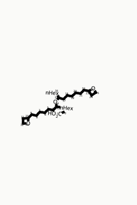 CC(=O)O.CCCCCCC(CCCCCCC1CCO1)OC(CCCCCC)CCCCCCC1CCO1